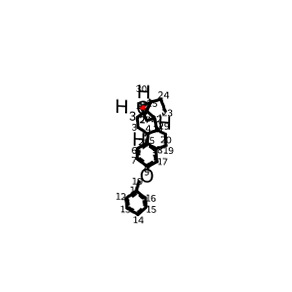 C[C@]12CC[C@@H]3c4ccc(OCc5ccccc5)cc4CC[C@H]3[C@]13CC[C@@H]2CC3